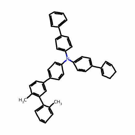 Cc1ccccc1-c1cc(-c2ccc(N(c3ccc(C4=CCCC=C4)cc3)c3ccc(-c4ccccc4)cc3)cc2)ccc1C